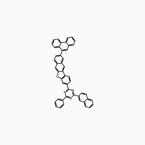 c1ccc(-c2nc(-c3ccc4ccccc4c3)nc(-c3ccc4c(c3)oc3cc5ccc(-c6cc7ccccc7c7ccccc67)cc5cc34)n2)cc1